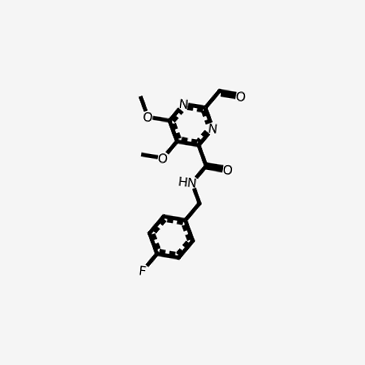 COc1nc(C=O)nc(C(=O)NCc2ccc(F)cc2)c1OC